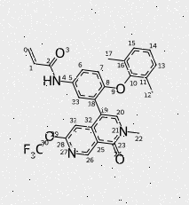 C=CC(=O)Nc1ccc(Oc2c(C)cccc2C)c(-c2cn(C)c(=O)c3cnc(OC(F)(F)F)cc23)c1